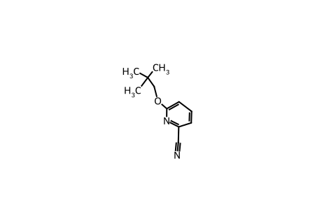 CC(C)(C)COc1cccc(C#N)n1